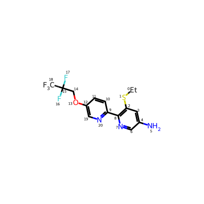 CCSc1cc(N)cnc1-c1ccc(OCC(F)(F)C(F)(F)F)cn1